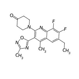 CCc1cc2c(C)c(-c3nc(C)no3)c(N3CCC(=O)CC3)nc2c(F)c1F